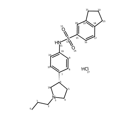 CCCN1CC[C@@H](c2ccc(NS(=O)(=O)c3ccc4c(c3)CCC4)cc2)C1.Cl